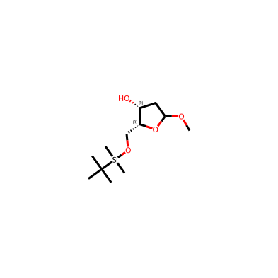 COC1C[C@@H](O)[C@@H](CO[Si](C)(C)C(C)(C)C)O1